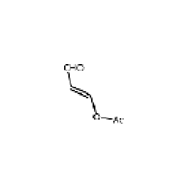 CC(=O)OC=CC=O